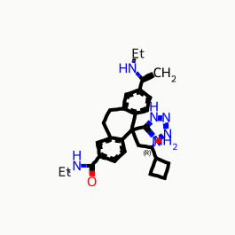 C=C(NCC)c1ccc2c(c1)CCc1cc(C(=O)NCC)ccc1C2(C[C@@H](N)C1CCC1)c1nnn[nH]1